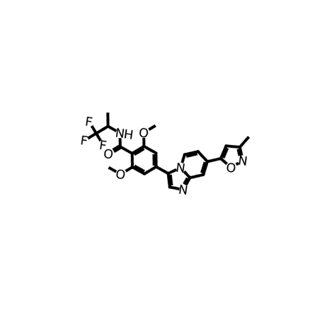 COc1cc(-c2cnc3cc(-c4cc(C)no4)ccn23)cc(OC)c1C(=O)NC(C)C(F)(F)F